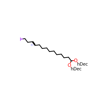 CCCCCCCCCCOC(CCCCCCCCC/C=C/CCI)OCCCCCCCCCC